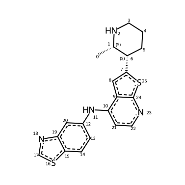 C[C@@H]1NCCC[C@@H]1c1cc2c(Nc3ccc4scnc4c3)ccnc2s1